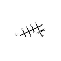 CC(F)(F)C(F)(F)C(F)(F)C(F)(F)S(=O)(=O)[O-].[Li+]